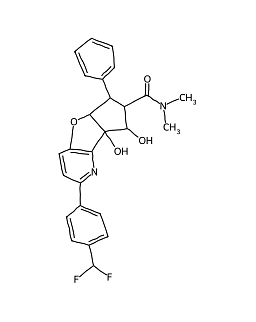 CN(C)C(=O)C1C(c2ccccc2)C2Oc3ccc(-c4ccc(C(F)F)cc4)nc3C2(O)C1O